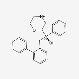 O[C@](Cc1ccccc1-c1ccccc1)(c1ccccc1)C1CNCCO1